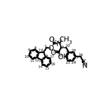 CN(C(=O)OCC1c2ccccc2-c2ccccc21)[C@@H](Cc1cccc(CC#N)c1)C(=O)O